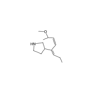 CC/C=C(\C=C/C(C)OC)C1CCNC1